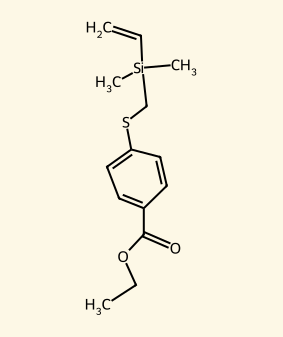 C=C[Si](C)(C)CSc1ccc(C(=O)OCC)cc1